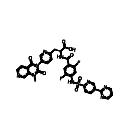 Cn1c(=O)n(-c2ccc(C[C@H](NC(=O)c3cc(F)c(NS(=O)(=O)c4ccc(-c5ncccn5)cn4)cc3F)C(=O)O)nc2)c(=O)c2ccncc21